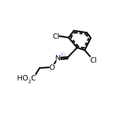 O=C(O)CO/N=C/c1c(Cl)cccc1Cl